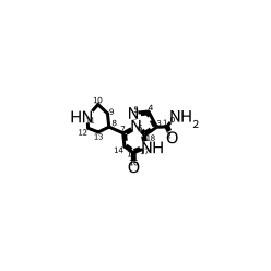 NC(=O)c1cnn2c(C3CCNCC3)cc(=O)[nH]c12